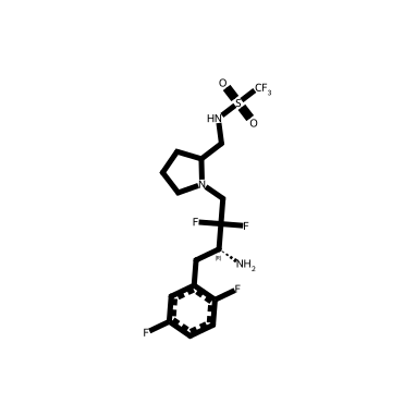 N[C@H](Cc1cc(F)ccc1F)C(F)(F)CN1CCCC1CNS(=O)(=O)C(F)(F)F